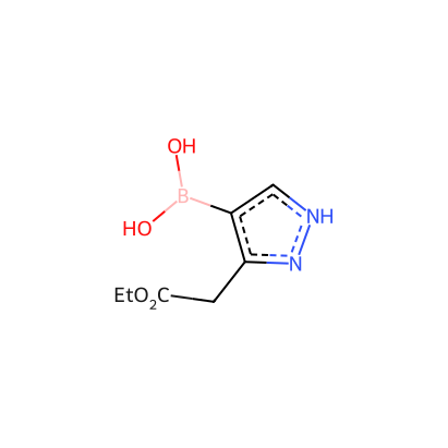 CCOC(=O)Cc1n[nH]cc1B(O)O